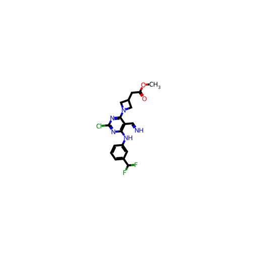 COC(=O)CC1CN(c2nc(Cl)nc(Nc3cccc(C(F)F)c3)c2C=N)C1